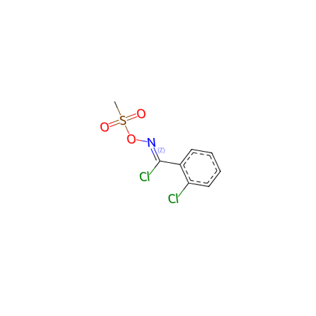 CS(=O)(=O)O/N=C(\Cl)c1ccccc1Cl